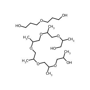 CC(O)COC(C)COC(C)COC(C)COC(C)COC(C)CO.OCCCOCCCO